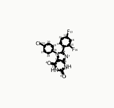 O=c1[nH]c(=O)c2c(nc(-c3ccc(F)cc3F)n2-c2ccc(Cl)cc2)[nH]1